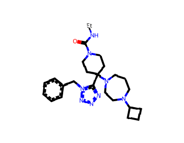 CCNC(=O)N1CCC(c2nnnn2Cc2ccccc2)(N2CCCN(C3CCC3)CC2)CC1